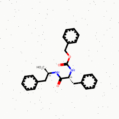 O=C(N[C@H](Cc1ccccc1)C(=O)N[C@@H](Cc1ccccc1)C(=O)O)OCc1ccccc1